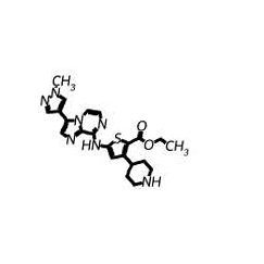 CCOC(=O)c1sc(Nc2nccn3c(-c4cnn(C)c4)cnc23)cc1C1CCNCC1